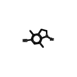 CC(=O)N1CCc2c(C)c(O)cc(C)c21